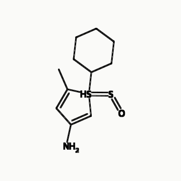 CC1=CC(N)=C[SH]1(=S=O)C1CCCCC1